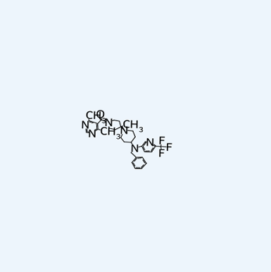 Cc1ncnc(C)c1C(=O)N1CCC(C)(N2CCC(N(Cc3ccccc3)c3ccc(C(F)(F)F)nc3)CC2)CC1